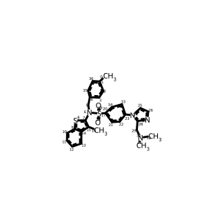 Cc1ccc(CN(c2sc3ccccc3c2C)S(=O)(=O)c2ccc(-n3ccnc3CN(C)C)cc2)cc1